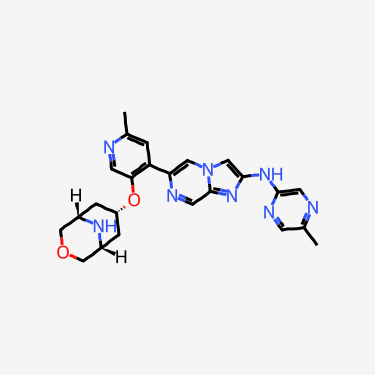 Cc1cnc(Nc2cn3cc(-c4cc(C)ncc4O[C@H]4C[C@H]5COC[C@@H](C4)N5)ncc3n2)cn1